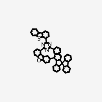 c1ccc(-c2nc(-c3cccc4c3sc3ccccc34)nc(-c3cccc4oc5ccc(-c6cccc7c6-c6ccccc6C76c7ccccc7-c7ccccc76)cc5c34)n2)cc1